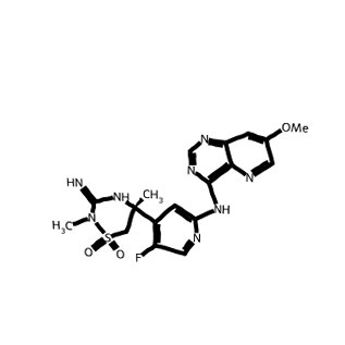 COc1cnc2c(Nc3cc([C@]4(C)CS(=O)(=O)N(C)C(=N)N4)c(F)cn3)ncnc2c1